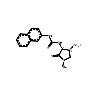 CCCCCN1C[C@H](C(=O)O)[C@H](NC(=O)Nc2ccc3ccccc3c2)C1=O